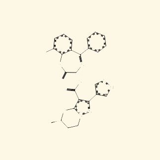 C[C@@H]1CCn2nc(-c3cn[nH]c3)c(C(=O)N[C@H]3N=C(c4ccccc4)c4cccc(F)c4NC3=O)c2O1